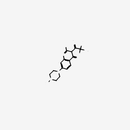 CN1CCN(c2ccc3c(c2)N=C(F)C(C(=O)C(Cl)(Cl)Cl)C3=O)CC1